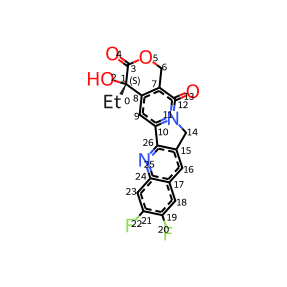 CC[C@@]1(O)C(=O)OCc2c1cc1n(c2=O)Cc2cc3cc(F)c(F)cc3nc2-1